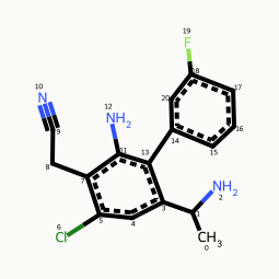 CC(N)c1cc(Cl)c(CC#N)c(N)c1-c1cccc(F)c1